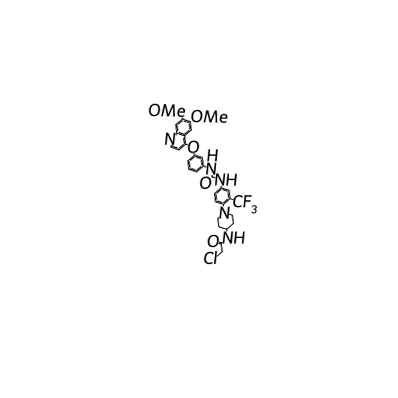 COc1cc2nccc(Oc3cccc(NC(=O)Nc4ccc(N5CCC(NC(=O)CCl)CC5)c(C(F)(F)F)c4)c3)c2cc1OC